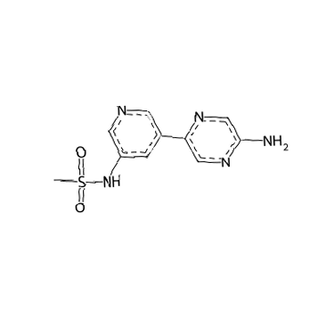 CS(=O)(=O)Nc1cncc(-c2cnc(N)cn2)c1